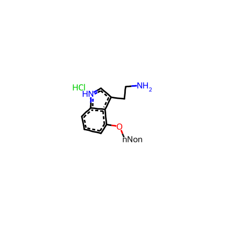 CCCCCCCCCOc1cccc2[nH]cc(CCN)c12.Cl